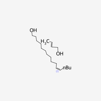 CC=CCO.CCCC/C=C\CCCCCCCCCCO